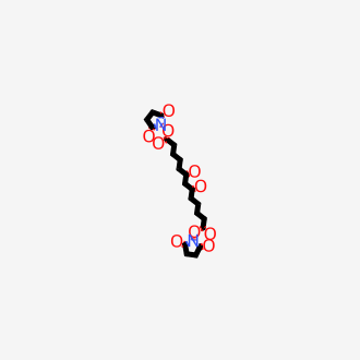 O=C(CCCCC(=O)ON1C(=O)CCC1=O)CC(=O)CCCCC(=O)ON1C(=O)CCC1=O